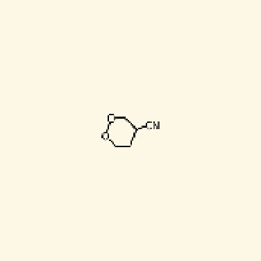 N#CC1CCOOC1